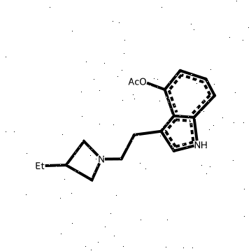 CCC1CN(CCc2c[nH]c3cccc(OC(C)=O)c23)C1